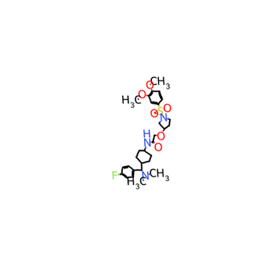 COc1ccc(S(=O)(=O)N2CCC(OCC(=O)NC3CCC(C(c4ccc(F)cc4)N(C)C)CC3)C2)cc1OC